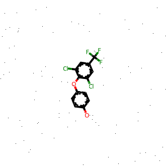 [O]c1ccc(Oc2c(Cl)cc(C(F)(F)F)cc2Cl)cc1